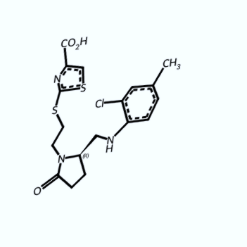 Cc1ccc(NC[C@H]2CCC(=O)N2CCSc2nc(C(=O)O)cs2)c(Cl)c1